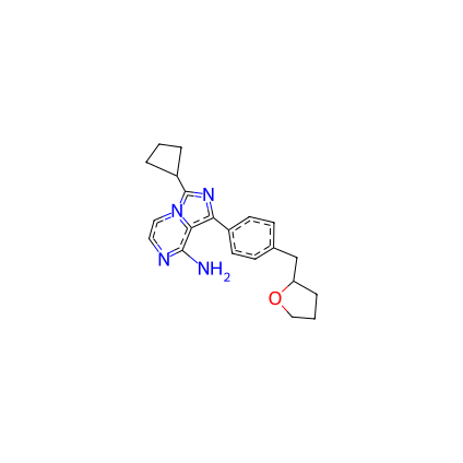 Nc1nccn2c(C3CCC3)nc(-c3ccc(CC4CCCO4)cc3)c12